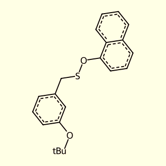 CC(C)(C)Oc1cccc(CSOc2cccc3ccccc23)c1